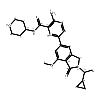 CSc1cc(-c2cnc(N)c(C(=O)NC3CCOCC3)n2)cc2c1C(=O)N(C(C)C1CC1)C2